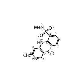 CNS(=O)(=O)c1ccccc1Nc1cc(Cl)ncc1C(F)(F)F